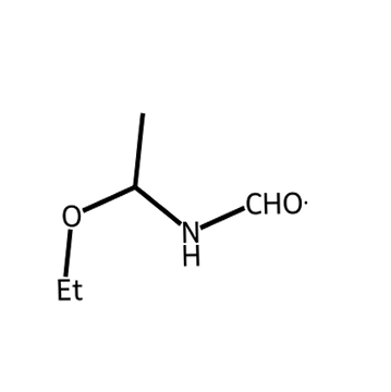 CCOC(C)N[C]=O